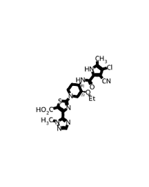 CCO[C@H]1CN(c2nc(-c3ncnn3C)c(C(=O)O)s2)CC[C@H]1NC(=O)c1[nH]c(C)c(Cl)c1C#N